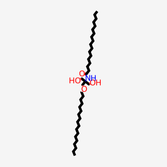 CCCCCCCCCCCCCCCCCCOCC(CO)(CO)NC(=O)CCCCCCCCCCCCCCCCC